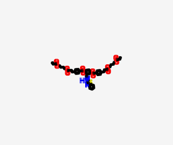 C=CC(=O)OCCCCOC(=O)/C=C/c1ccc(C(=O)Oc2ccc(OC(=O)c3ccc(/C=C/C(=O)OCCCCOC(=O)C=C)cc3)c(/C=N/Nc3nc4ccccc4s3)c2)cc1